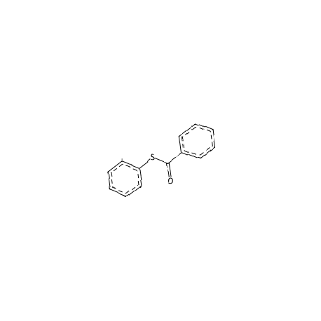 O=C(Sc1[c]cccc1)c1ccccc1